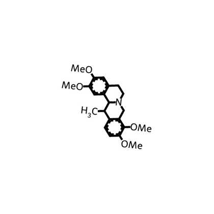 COc1cc2c(cc1OC)C1C(C)c3ccc(OC)c(OC)c3CN1CC2